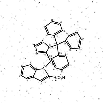 O=C(O)c1cc2ccccc2n1Cc1nnnn1C(c1ccccc1)(c1ccccc1)c1ccccc1